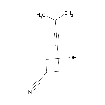 CC(C)C#CC1(O)CC(C#N)C1